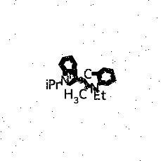 CCN(c1ccccc1C)C(C)Cc1cn(C(C)C)c2ccccc12